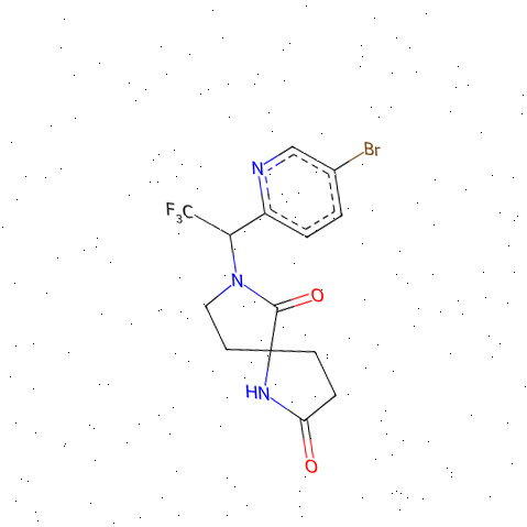 O=C1CCC2(CCN(C(c3ccc(Br)cn3)C(F)(F)F)C2=O)N1